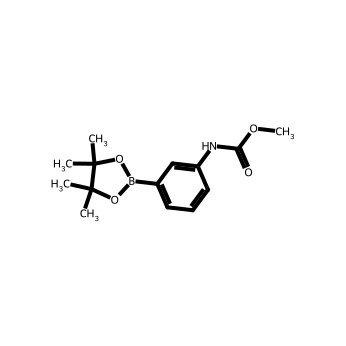 COC(=O)Nc1cccc(B2OC(C)(C)C(C)(C)O2)c1